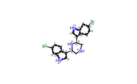 Brc1ccc2c([C@@H]3CNC[C@H](c4c[nH]c5cc(Br)ccc45)N3)c[nH]c2c1